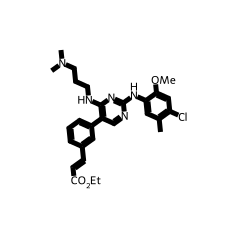 CCOC(=O)/C=C/c1cccc(-c2cnc(Nc3cc(C)c(Cl)cc3OC)nc2NCCCN(C)C)c1